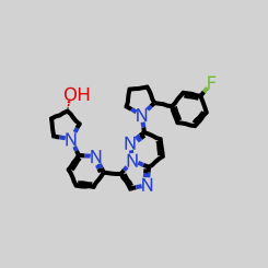 O[C@H]1CCN(c2cccc(-c3cnc4ccc(N5CCCC5c5cccc(F)c5)nn34)n2)C1